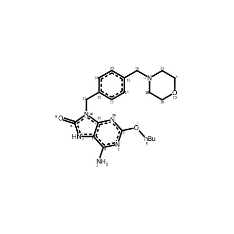 CCCCOc1nc(N)c2[nH]c(=O)n(Cc3ccc(CN4CCOCC4)cc3)c2n1